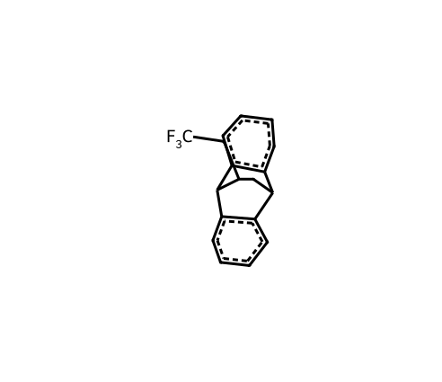 FC(F)(F)CC1CC2c3ccccc3C1c1ccccc12